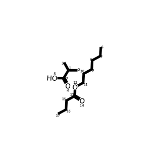 CC(C)C(=O)O.CCCCCCOC(=O)CCC